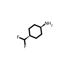 N[C@H]1CC[C@@H](C(F)F)CC1